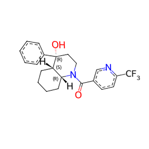 O=C(c1ccc(C(F)(F)F)nc1)N1CC[C@](O)(c2ccccc2)[C@H]2CCCC[C@H]21